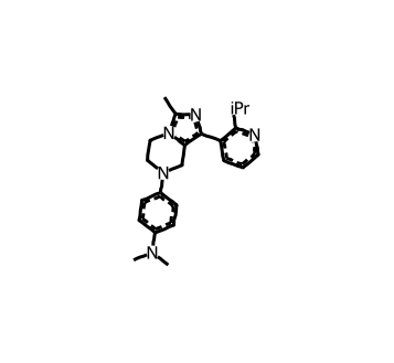 Cc1nc(-c2cccnc2C(C)C)c2n1CCN(c1ccc(N(C)C)cc1)C2